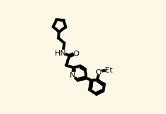 CCOc1ccccc1-c1ccc(CC(=O)NCCC2CCCC2)nc1